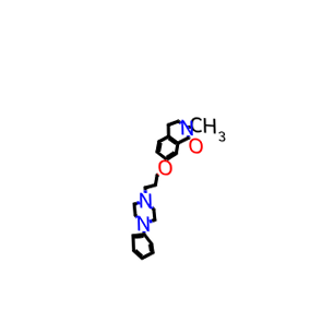 CN1CCc2ccc(OCCCN3CCN(c4ccccc4)CC3)cc2C1=O